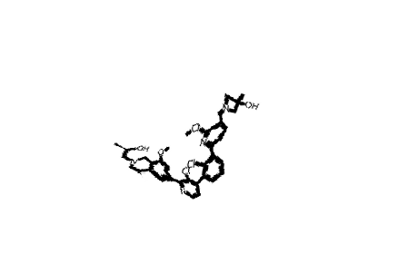 COc1cc(-c2nccc(-c3cccc(-c4ccc(CN5CC(C)(O)C5)c(OC)n4)c3Cl)c2Cl)cc2c1CN(C[C@@H](C)O)CC2